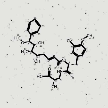 COc1ccc(C[C@@H](NC(=O)/C=C/C[C@H](O)[C@H](C)[C@@H](O)[C@@H](OC)c2ccccc2)C(=O)NC[C@@H](C)C(=O)O)cc1Cl